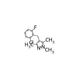 Cc1nn(C)c(C)c1Cc1c(F)cccc1Cl